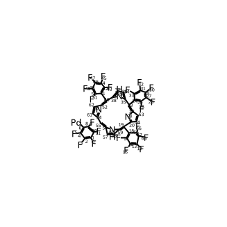 Fc1c(F)c(F)[c]([Pd])c(F)c1F.Fc1c(F)c(F)c(-c2c3nc(c(-c4c(F)c(F)c(F)c(F)c4F)c4ccc([nH]4)c(-c4c(F)c(F)c(F)c(F)c4F)c4nc(cc5ccc2[nH]5)C=C4)C=C3)c(F)c1F